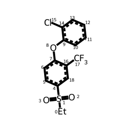 CCS(=O)(=O)c1ccc(Oc2c[c]ccc2Cl)c(C(F)(F)F)c1